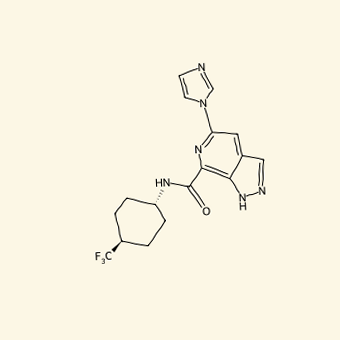 O=C(N[C@H]1CC[C@H](C(F)(F)F)CC1)c1nc(-n2ccnc2)cc2cn[nH]c12